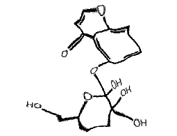 O=c1ccoc2cccc(OC3(O)OC(CO)CCC3(O)O)c12